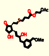 COCc1cccc(C[C@H](O)/C=C/[C@@H]2[C@H](O)CC(=O)[C@@H]2CCSCCCC(=O)OCCOC(C)=O)c1